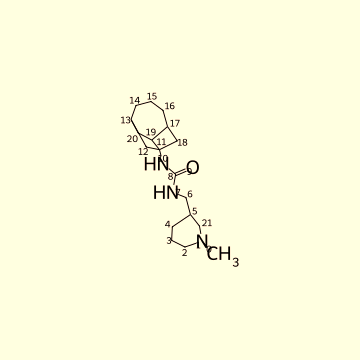 CN1CCCC(CNC(=O)NC23CC4CCCC(C2)C3C4)C1